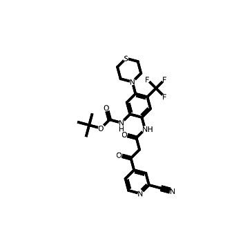 CC(C)(C)OC(=O)Nc1cc(N2CCSCC2)c(C(F)(F)F)cc1NC(=O)CC(=O)c1ccnc(C#N)c1